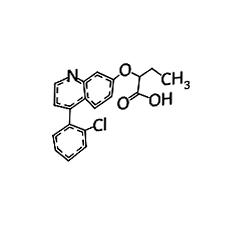 CCC(Oc1ccc2c(-c3ccccc3Cl)ccnc2c1)C(=O)O